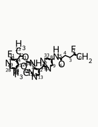 C=C(F)CCC(=O)Nc1cnc(-c2cnn(C)c2NC(=O)O[C@H](C)c2cc(F)cnc2F)nc1